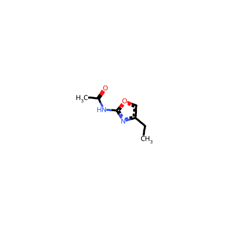 CCc1coc(NC(C)=O)n1